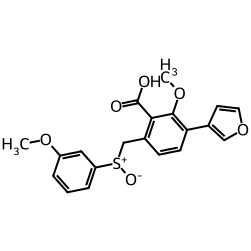 COc1cccc([S+]([O-])Cc2ccc(-c3ccoc3)c(OC)c2C(=O)O)c1